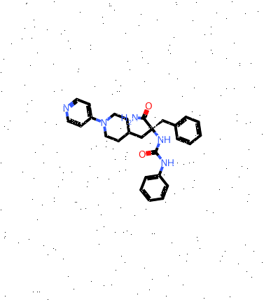 NC(=O)[C@@](Cc1ccccc1)(CC1CCN(c2ccncc2)CC1)NC(=O)Nc1ccccc1